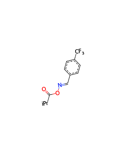 CC(C)C(=O)O/N=C/c1ccc(C(F)(F)F)cc1